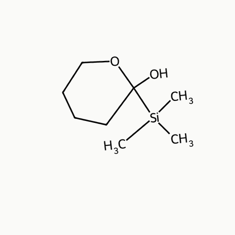 C[Si](C)(C)C1(O)CCCCO1